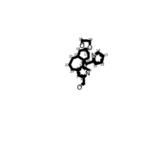 O=Cc1cc2c(cn1)C1(Cc3ccccn3)CCC3(CC1CCC2)OCCO3